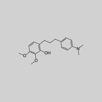 COc1ccc(CCCc2ccc(N(C)C)cc2)c(O)c1OC